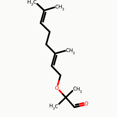 CC(C)=CCC/C(C)=C/COC(C)(C)C=O